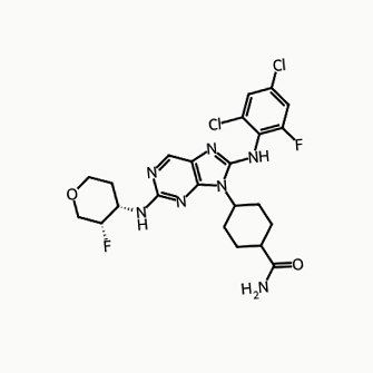 NC(=O)C1CCC(n2c(Nc3c(F)cc(Cl)cc3Cl)nc3cnc(N[C@H]4CCOC[C@H]4F)nc32)CC1